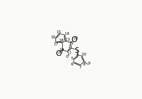 CC1=C(Sc2cccc(C)c2)C(=O)c2ccccc2C1=O